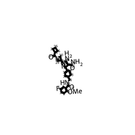 COc1ccc(F)cc1C(=O)NCc1ccc(-c2nn(C3CN(C(=O)C4CCC4)C3)c(N)c2C(N)=O)cc1